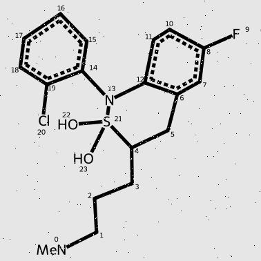 CNCCCC1Cc2cc(F)ccc2N(c2ccccc2Cl)S1(O)O